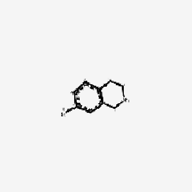 Brc1ccc2c(c1)C[N]CC2